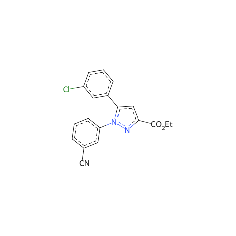 CCOC(=O)c1cc(-c2cccc(Cl)c2)n(-c2cccc(C#N)c2)n1